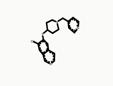 Clc1cc2cnccc2cc1SC1CCN(Cc2ccncc2)CC1